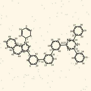 C1=CCC(n2cc(-c3cccc(-c4cccc(-c5cccc(-c6nc(-c7ccccc7)nc(-c7ccccc7)n6)c5)c4)c3)c3ccc4ccccc4c32)C=C1